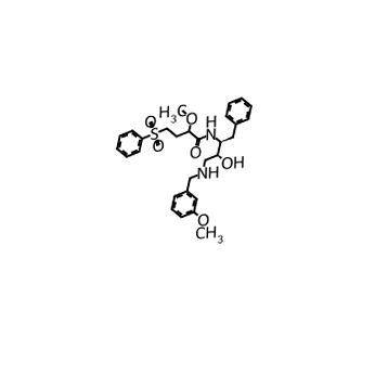 COc1cccc(CNC[C@H](O)[C@H](Cc2ccccc2)NC(=O)C(CCS(=O)(=O)c2ccccc2)OC)c1